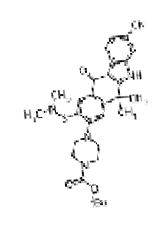 CN(C)Sc1cc2c(cc1N1CCN(C(=O)OC(C)(C)C)CC1)C(C)(C)c1[nH]c3cc(C#N)ccc3c1C2=O